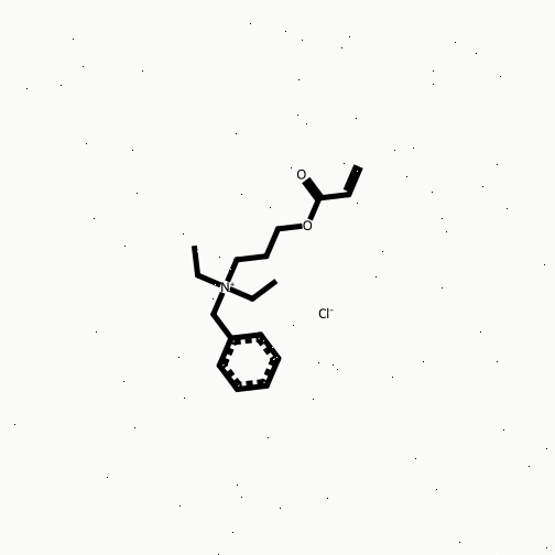 C=CC(=O)OCCC[N+](CC)(CC)Cc1ccccc1.[Cl-]